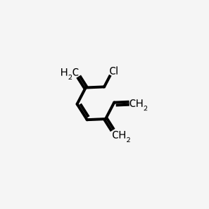 C=CC(=C)/C=C\C(=C)CCl